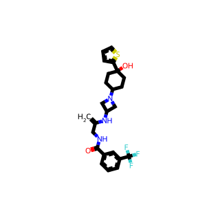 C=C(CNC(=O)c1cccc(C(F)(F)F)c1)NC1CN(C2CCC(O)(c3cccs3)CC2)C1